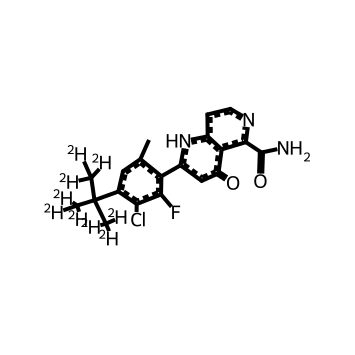 [2H]C([2H])([2H])C(c1cc(C)c(-c2cc(=O)c3c(C(N)=O)nccc3[nH]2)c(F)c1Cl)(C([2H])([2H])[2H])C([2H])([2H])[2H]